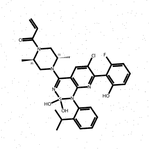 C=CC(=O)N1C[C@H](C)N(C2=NS(O)(O)N(c3ccccc3C(C)C)c3nc(-c4c(O)cccc4F)c(Cl)cc32)C[C@H]1C